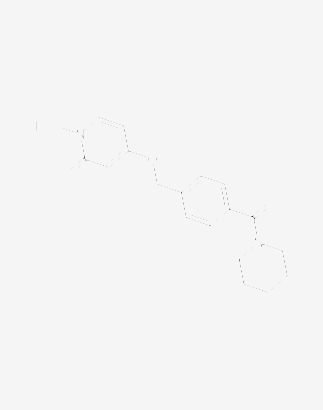 Cn1ccc(OCc2ccc(C(=O)N3CCCCC3)cc2)cc1=O